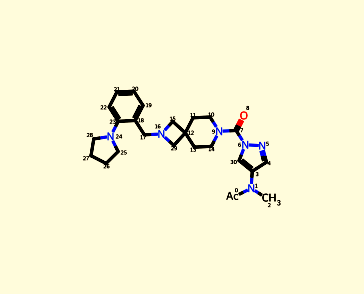 CC(=O)N(C)c1cnn(C(=O)N2CCC3(CC2)CN(Cc2ccccc2N2CCCC2)C3)c1